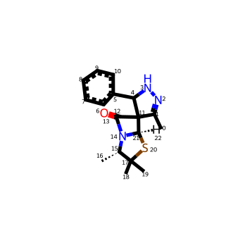 CC1=NNC(c2ccccc2)C12C(=O)N1[C@@H](C)C(C)(C)S[C@@H]12